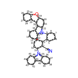 N#Cc1c(-c2ccccc2-n2c3ccccc3c3c4c(ccc32)oc2ccccc24)cccc1-n1c2ccccc2c2ccccc21